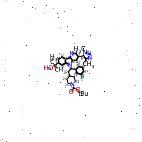 Cc1nnn(C)c1-c1cnc2c3ccc(C(C)(C)O)cc3n(C(CC3CCN(C(=O)OC(C)(C)C)CC3)c3cccc(F)c3)c2c1